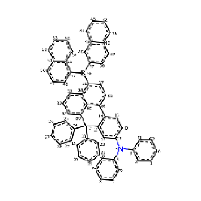 c1ccc(N(c2ccccc2)c2ccc3c(c2)C(c2ccccc2)(c2ccccc2)c2cccc4c(B(c5ccc6ccccc6c5)c5cccc6ccccc56)ccc-3c24)cc1